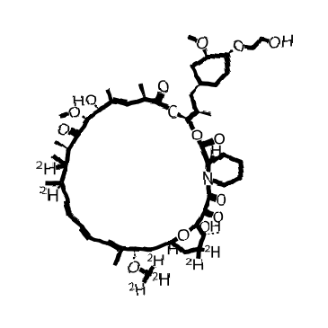 [2H]C([2H])([2H])O[C@H]1C[C@@H]2CC([2H])([2H])[C@@H](C)[C@@](O)(O2)C(=O)C(=O)N2CCCC[C@H]2C(=O)O[C@H]([C@H](C)C[C@@H]2CC[C@@H](OCCO)[C@H](OC)C2)CC(=O)[C@H](C)/C=C(\C)[C@@H](O)[C@@H](OC)C(=O)[C@H](C)C([2H])(C)[C@]([2H])(C)/C=C/C=C/C=C/1C